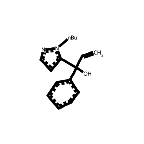 C=CC(O)(c1ccccc1)c1ccnn1CCCC